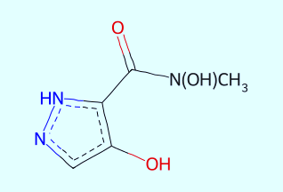 CN(O)C(=O)c1[nH]ncc1O